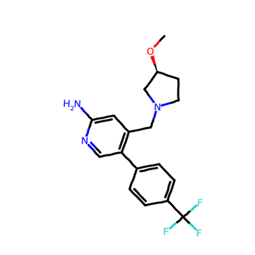 CO[C@H]1CCN(Cc2cc(N)ncc2-c2ccc(C(F)(F)F)cc2)C1